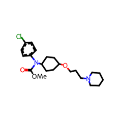 COC(=O)N(c1ccc(Cl)cc1)C1CCC(OCCCN2CCCCC2)CC1